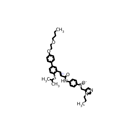 CCCCOCCOc1ccc(-c2ccc(SC(C)C)c(/C=C/C(=O)Nc3ccc([S@@+]([O-])Cc4cncn4CCC)cc3)c2)cc1